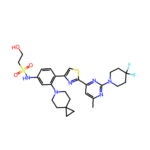 Cc1cc(-c2nc(-c3ccc(NS(=O)(=O)CCO)cc3N3CCC4(CC3)CC4)cs2)nc(N2CCC(F)(F)CC2)n1